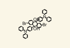 OC1(c2ccc(N(c3ccccc3)c3ccccc3)cc2)c2ccc(Br)cc2C(O)(c2ccc(N(c3ccccc3)c3ccccc3)cc2)c2ccc(Br)cc21